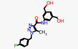 Cc1c(C(=O)Nc2cc(CO)cc(CO)c2)nnn1Cc1ccc(F)cc1